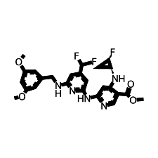 COC(=O)c1cnc(Nc2cc(C(F)F)cc(NCc3cc(OC)cc(OC)c3)n2)cc1N[C@@H]1C[C@@H]1F